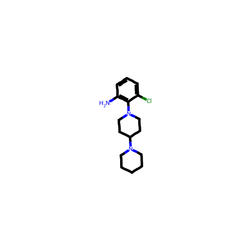 Nc1cccc(Cl)c1N1CCC(N2CCCCC2)CC1